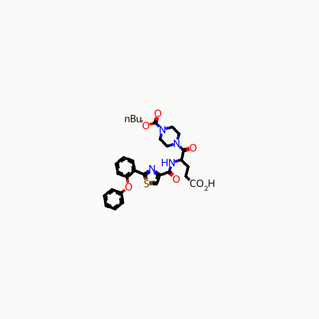 CCCCOC(=O)N1CCN(C(=O)C(CCC(=O)O)NC(=O)c2csc(-c3ccccc3Oc3ccccc3)n2)CC1